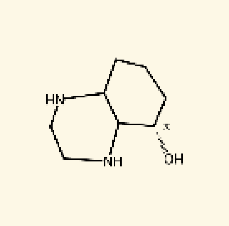 O[C@H]1CCCC2NCCNC21